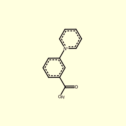 O=C(O)c1cccc(-[n+]2ccccc2)c1